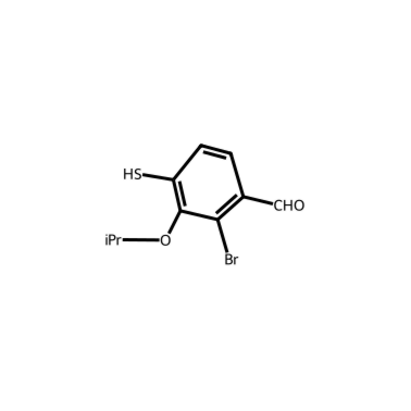 CC(C)Oc1c(S)ccc(C=O)c1Br